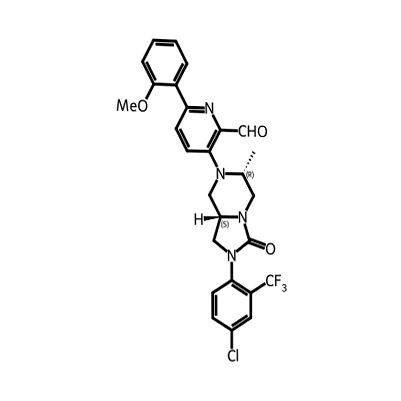 COc1ccccc1-c1ccc(N2C[C@H]3CN(c4ccc(Cl)cc4C(F)(F)F)C(=O)N3C[C@H]2C)c(C=O)n1